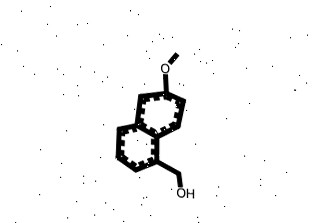 COc1ccc2c(CO)cccc2c1